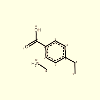 CCc1ccc(C(=O)O)cc1.CN